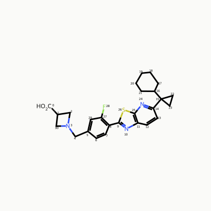 O=C(O)C1CN(Cc2ccc(-c3nc4ccc(C5(C6CCCCC6)CC5)nc4s3)c(F)c2)C1